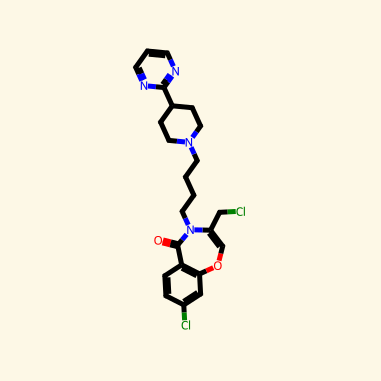 O=C1c2ccc(Cl)cc2OC=C(CCl)N1CCCCN1CCC(c2ncccn2)CC1